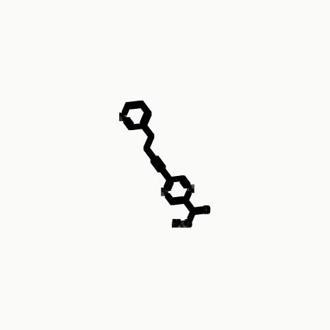 COC(=O)c1cnc(C#CCCc2cccnc2)cn1